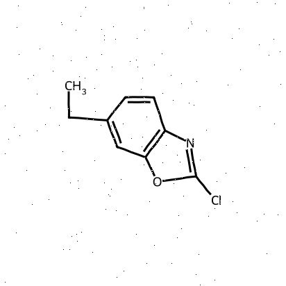 CCc1ccc2nc(Cl)oc2c1